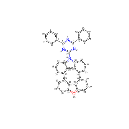 c1ccc(-c2nc(-c3ccccc3)nc(-n3c4cccc5c6cccc7oc8cccc(c9cccc3c9c54)c8c76)n2)cc1